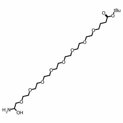 CC(C)(C)OC(=O)CCCOCCOCCOCCOCCOCCOCCOCCOCC(N)O